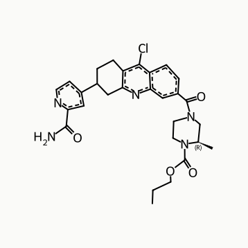 CCCOC(=O)N1CCN(C(=O)c2ccc3c(Cl)c4c(nc3c2)CC(c2ccnc(C(N)=O)c2)CC4)C[C@H]1C